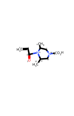 C=CC(=O)N1C(C)CN(C(=O)O)CC1C